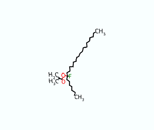 C=C(C)C(=O)OC(F)(CCCCCCCC)CCCCCCCCCCCCCCCCCC